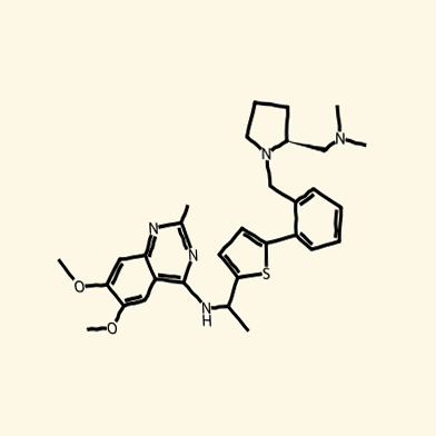 COc1cc2nc(C)nc(NC(C)c3ccc(-c4ccccc4CN4CCC[C@H]4CN(C)C)s3)c2cc1OC